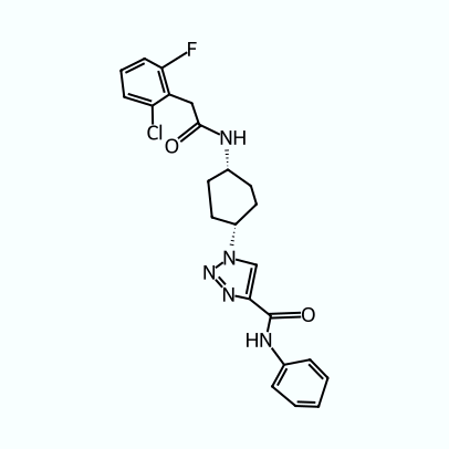 O=C(Cc1c(F)cccc1Cl)N[C@H]1CC[C@@H](n2cc(C(=O)Nc3ccccc3)nn2)CC1